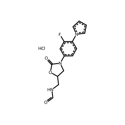 Cl.O=CNCC1CN(c2ccc(-n3cccc3)c(F)c2)C(=O)O1